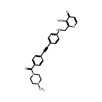 CN1CCN(C(=O)c2ccc(C#Cc3ccc(NCc4occc(=O)c4O)cc3)cc2)CC1